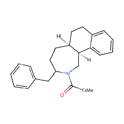 COC(=O)N1C[C@@H]2c3ccccc3CC[C@@H]2CCC1Cc1ccccc1